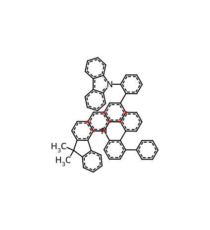 CC1(C)c2ccccc2-c2c(N(c3ccc(-c4ccccc4-n4c5ccccc5c5ccccc54)cc3)c3cccc(-c4ccccc4)c3-c3ccccc3-c3ccccc3)cccc21